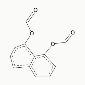 O=COc1cccc2cccc(OC=O)c12